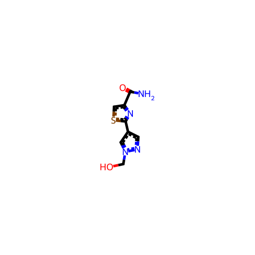 NC(=O)c1csc(-c2cnn(CO)c2)n1